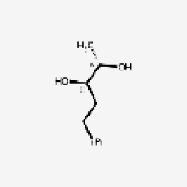 CCCCC[C@@H](O)[C@H](C)O